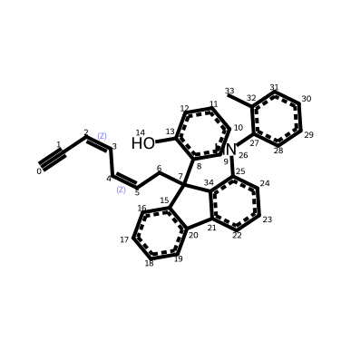 C#C/C=C\C=C/CC1(c2ccccc2O)c2ccccc2-c2cccc(Nc3ccccc3C)c21